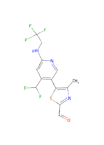 Cc1nc(C=O)sc1-c1cnc(NCC(F)(F)F)cc1C(F)F